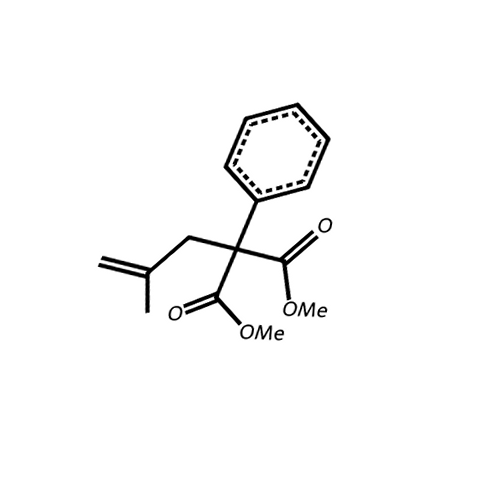 C=C(C)CC(C(=O)OC)(C(=O)OC)c1ccccc1